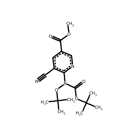 COC(=O)c1cnc(N(OC(C)(C)C)C(=O)OC(C)(C)C)c(C#N)c1